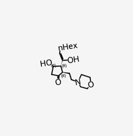 CCCCCCC=C(O)[C@H]1[C@H](O)CC(=O)[C@@H]1CCN1CCOCC1